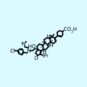 CC(C)C1=C2[C@H]3CC[C@@H]4[C@@]5(C)CC=C(C6=CCC(C(=O)O)CC6)C(C)(C)[C@@H]5CC[C@@]4(C)[C@]3(C)CC[C@@]2(C(O)CN(CCN(C)C)Cc2ccc(Cl)cc2)CC1=O